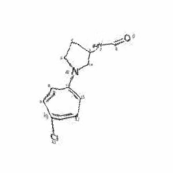 O=CNC1CCN(c2ccc(Cl)cc2)C1